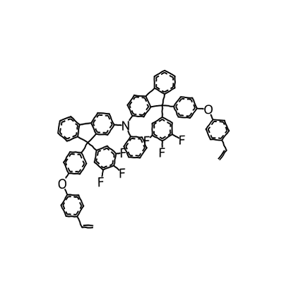 C=Cc1ccc(Oc2ccc(C3(c4cc(F)c(F)c(F)c4)c4ccccc4-c4ccc(N(c5ccccc5)c5ccc6c(c5)C(c5ccc(Oc7ccc(C=C)cc7)cc5)(c5cc(F)c(F)c(F)c5)c5ccccc5-6)cc43)cc2)cc1